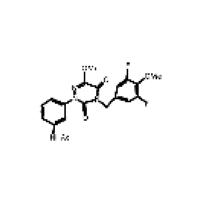 COc1c(F)cc(Cn2c(=O)c(OC)nn(-c3cccc(NC(C)=O)c3)c2=O)cc1F